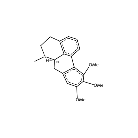 COc1cc2c(c(OC)c1OC)-c1cccc3c1[C@@H](C2)N(C)CC3